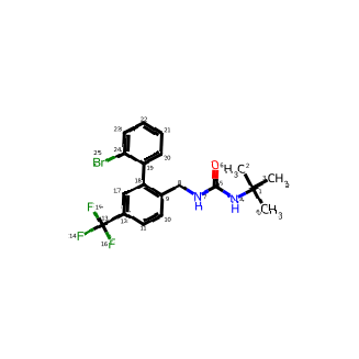 CC(C)(C)NC(=O)NCc1ccc(C(F)(F)F)cc1-c1ccccc1Br